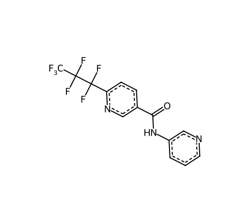 O=C(Nc1cccnc1)c1ccc(C(F)(F)C(F)(F)C(F)(F)F)nc1